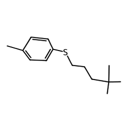 Cc1ccc(SCCCC(C)(C)C)cc1